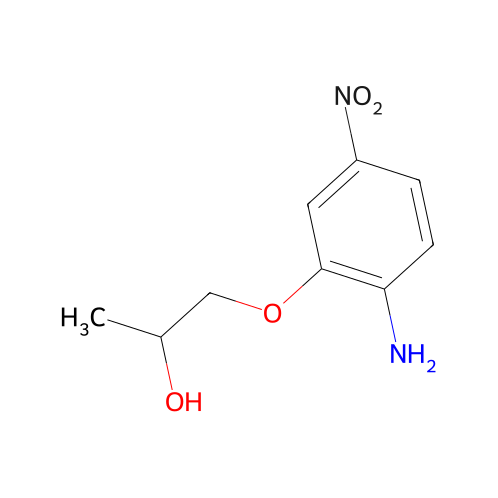 CC(O)COc1cc([N+](=O)[O-])ccc1N